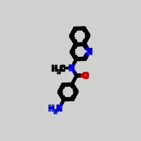 CN(C(=O)c1ccc(N)cc1)c1cnc2ccccc2c1